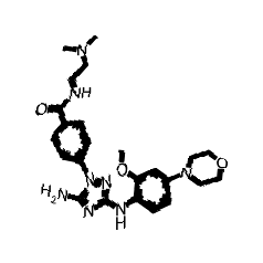 COc1cc(N2CCOCC2)ccc1Nc1nc(N)n(-c2ccc(C(=O)NCCN(C)C)cc2)n1